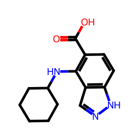 O=C(O)c1ccc2[nH]ncc2c1NC1CCCCC1